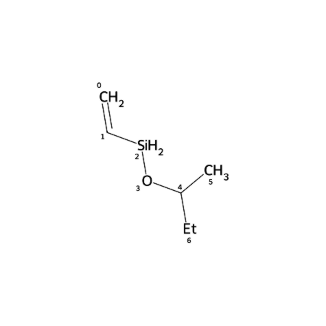 C=C[SiH2]OC(C)CC